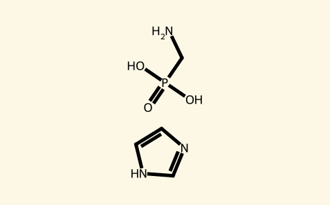 NCP(=O)(O)O.c1c[nH]cn1